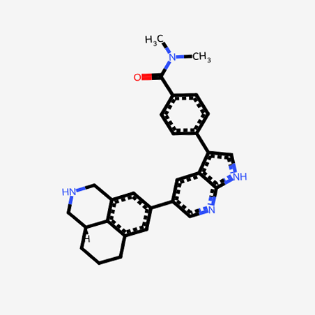 CN(C)C(=O)c1ccc(-c2c[nH]c3ncc(-c4cc5c6c(c4)CNC[C@H]6CCC5)cc23)cc1